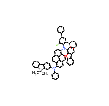 C[Si]1(C)c2ccccc2-c2ccc(N(c3ccccc3)c3ccc4ccc5c(N(c6c(F)cc(-c7ccccc7)cc6C6C=CC=CC6)c6cccc7c6oc6ccccc67)ccc6ccc3c4c65)cc21